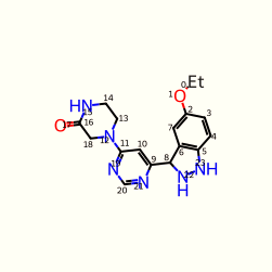 CCOc1ccc2c(c1)C(c1cc(N3CCNC(=O)C3)ncn1)NN2